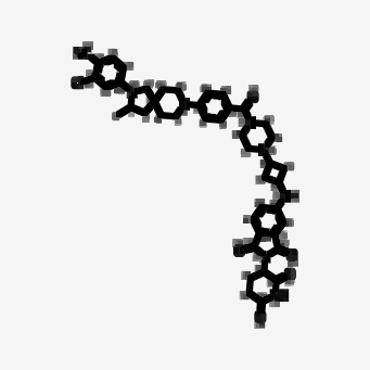 CC1CC2(CCN(c3ccc(C(=O)N4CCN(C5CC(Nc6ccc7c(c6)C(=O)N(C6CCC(=O)NC6=O)C7=O)C5)CC4)cc3)CC2)CN1c1ccc(C#N)c(Cl)c1